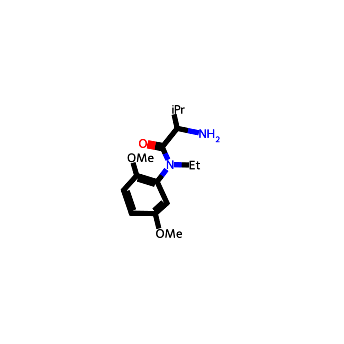 CCN(C(=O)C(N)C(C)C)c1cc(OC)ccc1OC